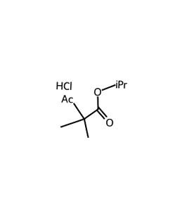 CC(=O)C(C)(C)C(=O)OC(C)C.Cl